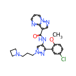 COc1ccc(Cl)cc1-c1nn(CCCN2CCC2)cc1NC(=O)c1cnn2cccnc12